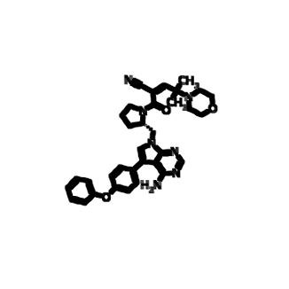 CC(C)(/C=C(/C#N)C(=O)N1CCC[C@H]1Cn1cc(-c2ccc(Oc3ccccc3)cc2)c2c(N)ncnc21)N1CCOCC1